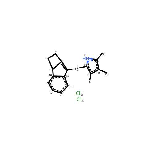 Cc1[nH][c]([Ti+2][C]2=C3CCC3c3ccccc32)c(C)c1C.[Cl-].[Cl-]